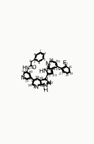 O=C(Cc1ccccc1)Nc1cncc(-c2cnc3[nH]nc(-c4cc5c(-c6ccccc6F)ccnc5[nH]4)c3c2)c1